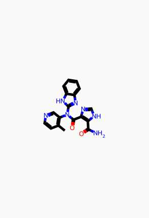 Cc1ccncc1N(C(=O)c1nc[nH]c1C(N)=O)c1nc2ccccc2[nH]1